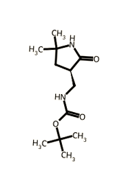 CC1(C)C[C@H](CNC(=O)OC(C)(C)C)C(=O)N1